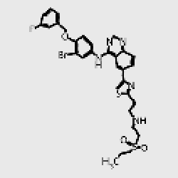 CCCS(=O)(=O)CCNCCc1nc(-c2ccc3ncnc(Nc4ccc(OCc5cccc(F)c5)c(Br)c4)c3c2)cs1